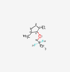 [CH2]CC1C[CH]C(C)C1OCC(F)(F)C(F)(F)F